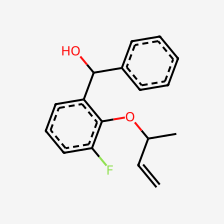 C=CC(C)Oc1c(F)cccc1C(O)c1ccccc1